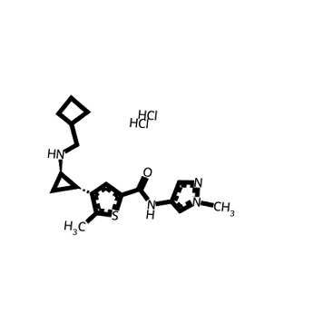 Cc1sc(C(=O)Nc2cnn(C)c2)cc1[C@@H]1C[C@H]1NCC1CCC1.Cl.Cl